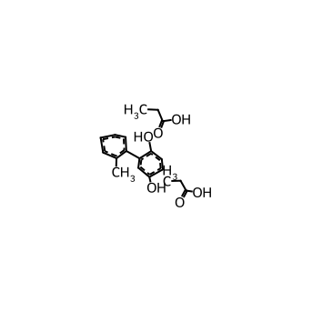 CCC(=O)O.CCC(=O)O.Cc1ccccc1-c1cc(O)ccc1O